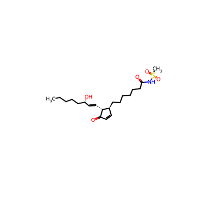 CCCCC[C@H](O)/C=C/[C@H]1C(=O)C=C[C@@H]1CCCCCCC(=O)NS(C)(=O)=O